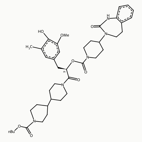 CCCCOC(=O)N1CCC(C2CCN(C(=O)[C@@H](Cc3cc(C)c(O)c(OC)c3)OC(=O)N3CCC(N4CCc5ccccc5NC4=O)CC3)CC2)CC1